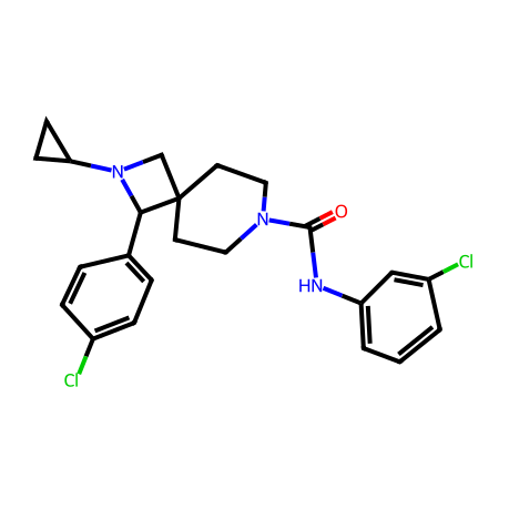 O=C(Nc1cccc(Cl)c1)N1CCC2(CC1)CN(C1CC1)C2c1ccc(Cl)cc1